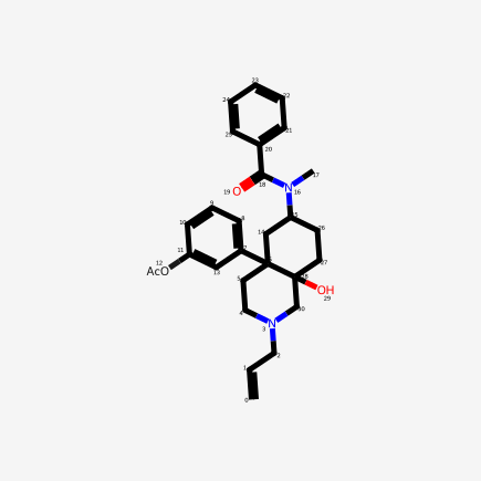 C=CCN1CCC2(c3cccc(OC(C)=O)c3)CC(N(C)C(=O)c3ccccc3)CCC2(O)C1